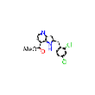 COC(=O)c1ccnc2cc(Cc3ccc(Cl)cc3Cl)[nH]c12